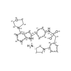 N[C@H]1CCN(c2cccc(CS(=O)(=O)Nc3ccc(-c4cc5c(N6CCOCC6)ncnc5[nH]4)cc3)c2)C1